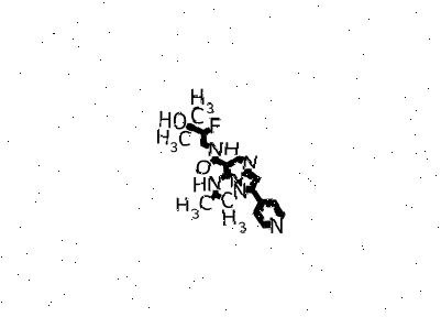 CC(C)Nc1c(C(=O)NCC(F)C(C)(C)O)cnc2cc(-c3ccncc3)nn12